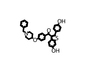 O=C(c1ccc(OC2CCN(Cc3ccccc3)CC2)cc1)c1c(-c2ccc(O)cc2)sc2cc(O)ccc12